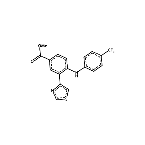 COC(=O)c1ccc(Nc2ccc(C(F)(F)F)cc2)c(-c2cscn2)c1